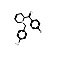 C=C(c1ccc(Cl)cc1)C1CC=CCN1Cc1ccc(C)cc1